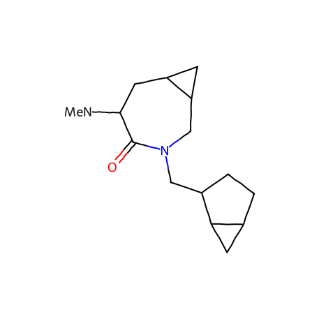 CNC1CC2CC2CN(CC2CCC3CC32)C1=O